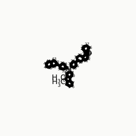 CC1(C)c2ccccc2-c2ccc(N(c3ccc(C4=Cc5ccc6oc7ccccc7c6c5CC4)cc3)c3ccc(-c4ccc5ccccc5c4)cc3)cc21